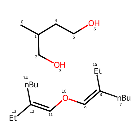 CC(CO)CCO.CCCCC(=COC=C(CC)CCCC)CC